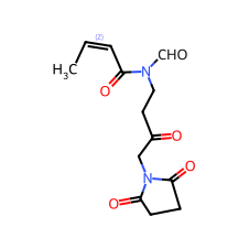 C/C=C\C(=O)N(C=O)CCC(=O)CN1C(=O)CCC1=O